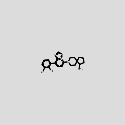 NC1CCCC12CCN(c1ccc(-c3cccc(Cl)c3Cl)c3ncnn13)CC2